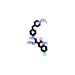 CN1CCC(Cc2ccc(N/C=C(\N=N)c3cc4cc(Cl)ccc4[nH]c3=O)cc2)CC1